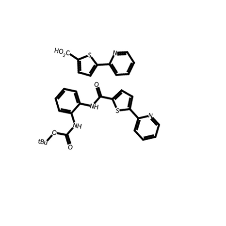 CC(C)(C)OC(=O)Nc1ccccc1NC(=O)c1ccc(-c2ccccn2)s1.O=C(O)c1ccc(-c2ccccn2)s1